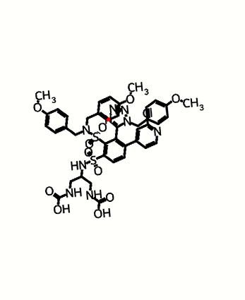 COc1ccc(CN(Cc2ccc(OC)cc2)S(=O)(=O)c2c(S(=O)(=O)NC(CNC(=O)O)CNC(=O)O)ccc(-c3ccnc(Cl)c3)c2-c2nnnn2Cc2ccc(OC)cc2)cc1